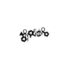 Cc1c(NC(=O)C2(c3ccccc3)CC2)ccc(F)c1CN1CCN(C(=O)C2CCCC2)[C@@H](C)C1